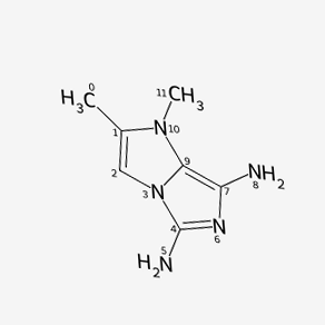 Cc1cn2c(N)nc(N)c2n1C